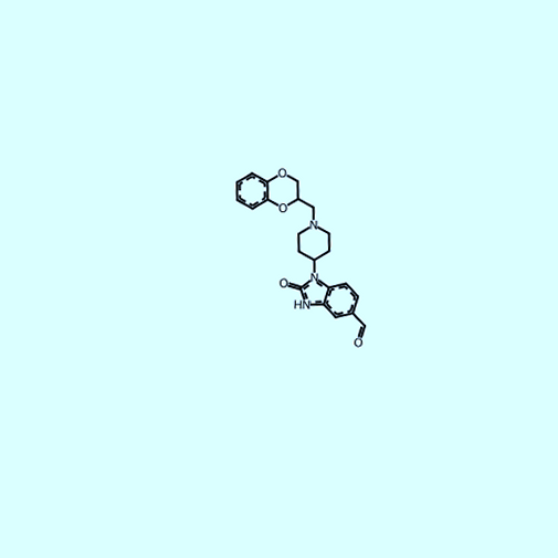 O=Cc1ccc2c(c1)[nH]c(=O)n2C1CCN(CC2COc3ccccc3O2)CC1